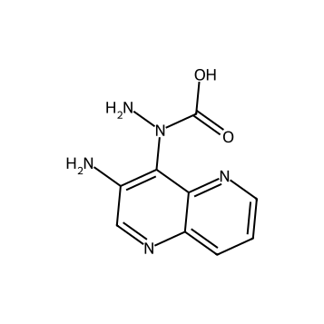 Nc1cnc2cccnc2c1N(N)C(=O)O